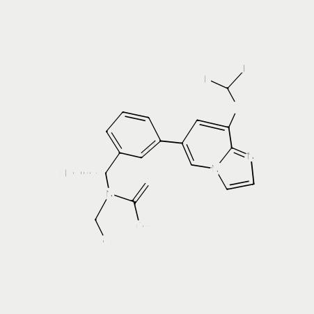 CCN(C(=O)O)[C@H](C)c1cccc(-c2cc(OC(F)F)c3nccn3c2)c1